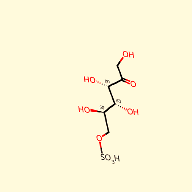 O=C(CO)[C@@H](O)[C@H](O)[C@H](O)COS(=O)(=O)O